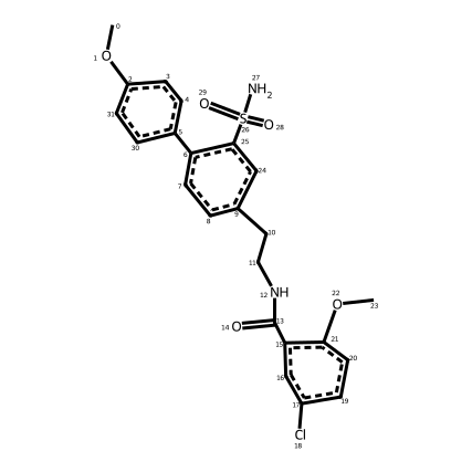 COc1ccc(-c2ccc(CCNC(=O)c3cc(Cl)ccc3OC)cc2S(N)(=O)=O)cc1